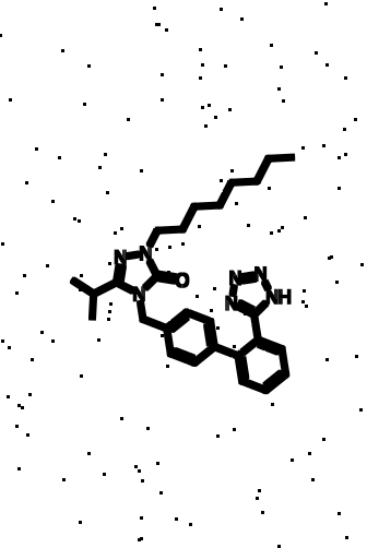 CCCCCCCCn1nc(C(C)C)n(Cc2ccc(-c3ccccc3-c3nnn[nH]3)cc2)c1=O